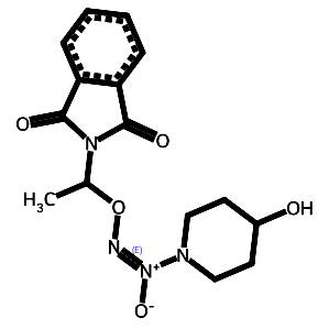 CC(O/N=[N+](/[O-])N1CCC(O)CC1)N1C(=O)c2ccccc2C1=O